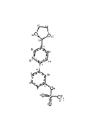 O=S(=O)(Oc1cccc(-c2ccc(C3OCCO3)cn2)c1)C(F)(F)F